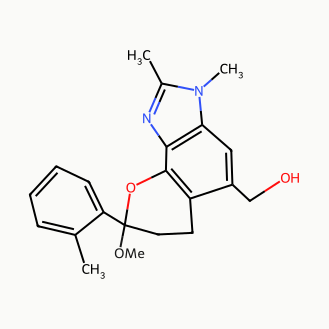 COC1(c2ccccc2C)CCc2c(CO)cc3c(nc(C)n3C)c2O1